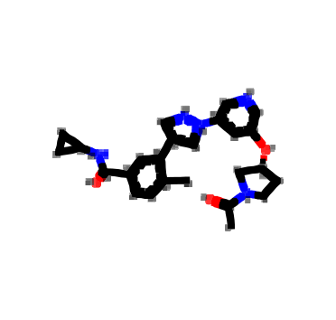 CC(=O)N1CC[C@@H](Oc2cncc(-n3cc(-c4cc(C(=O)NC5CC5)ccc4C)cn3)c2)C1